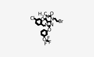 CN1C(=O)C2C(N=C(Oc3cccc(OC(F)(F)F)c3)N2Cc2ccc(Cl)cc2)N(CCBr)C1=O